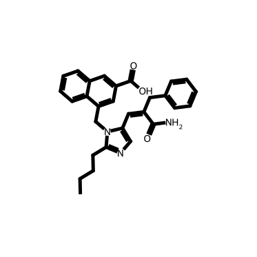 CCCCc1ncc(C=C(Cc2ccccc2)C(N)=O)n1Cc1cc(C(=O)O)cc2ccccc12